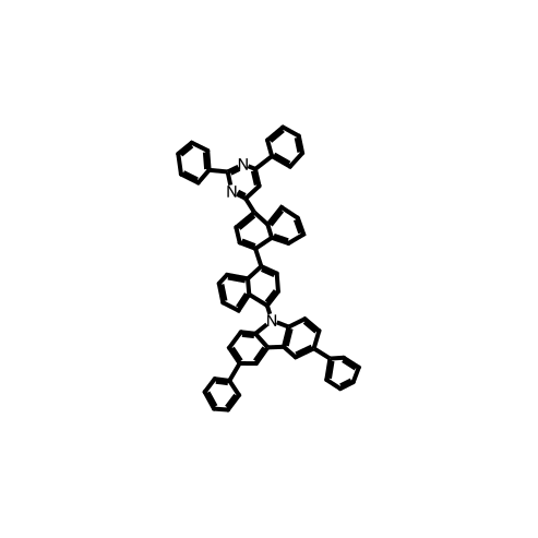 c1ccc(-c2ccc3c(c2)c2cc(-c4ccccc4)ccc2n3-c2ccc(-c3ccc(-c4cc(-c5ccccc5)nc(-c5ccccc5)n4)c4ccccc34)c3ccccc23)cc1